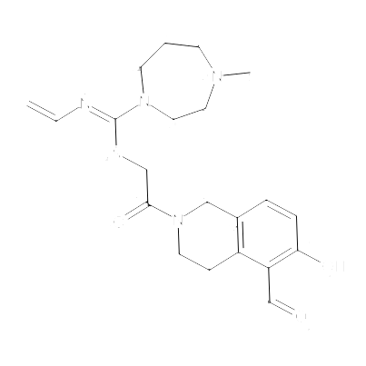 C=C/N=C(\SCC(=O)N1CCc2c(ccc(O)c2C=O)C1)N1CCCN(C)CC1